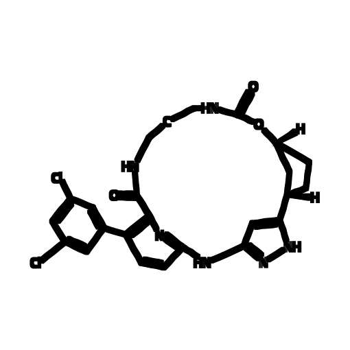 O=C1NCCCNC(=O)c2nc(ccc2-c2cc(Cl)cc(Cl)c2)Nc2cc([nH]n2)[C@H]2CC[C@H](C2)O1